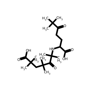 CC(C)(C)C(=O)CCC(NC(C)(C)C(=O)C(C)(C)CC(C)(C)C(=O)O)C(=O)O